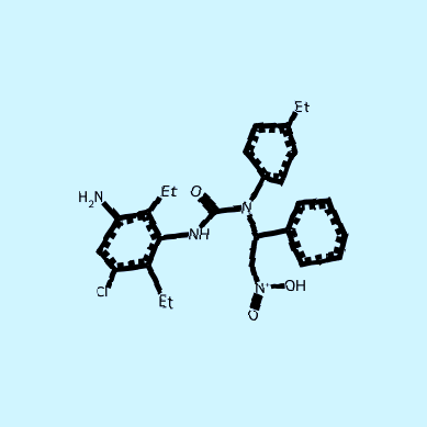 CCc1ccc(N(C(=O)Nc2c(CC)c(N)cc(Cl)c2CC)C(C[N+](=O)O)c2ccccc2)cc1